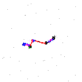 Cc1cnc(NC(=O)Nc2cc(Br)c(C)cc2OC[C@@H]2CN(CCOCCCOCCOc3ccc(C4=NC(C(=O)Nc5ccc([N+](=O)[O-])c(C(F)(F)F)c5)CS4)cc3)CCO2)cn1